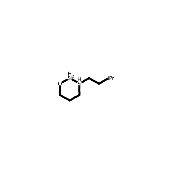 CC(C)CC[SiH]1CCCO[SiH2]1